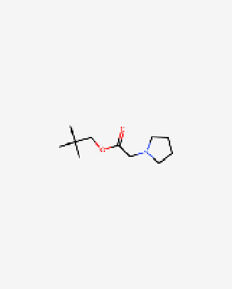 CC(C)(C)COC(=O)CN1CCCC1